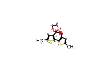 Cc1cc2c(s1)-c1sc(C)cc1C1(OCCO1)C21OCCO1